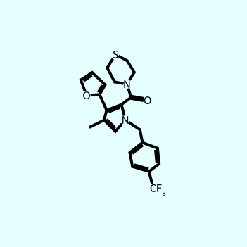 Cc1cn(Cc2ccc(C(F)(F)F)cc2)c(C(=O)N2CCSCC2)c1-c1ccco1